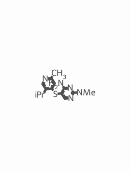 CNc1ncc(Sc2cc(C)ncc2C(C)C)c(N)n1